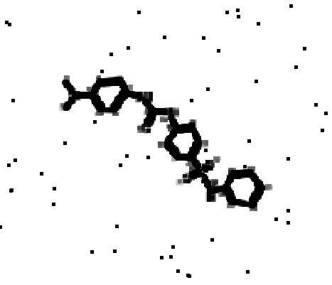 CN(C)c1ccc(NC(=O)Nc2ccc(S(=O)(=O)Nc3ccccc3)cc2)cc1